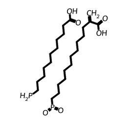 C=C(CCCCCCCCCCCP(=O)=O)C(=O)O.O=C(O)CCCCCCCCCCP